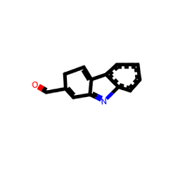 O=CC1=CC2=Nc3ccccc3C2=CC1